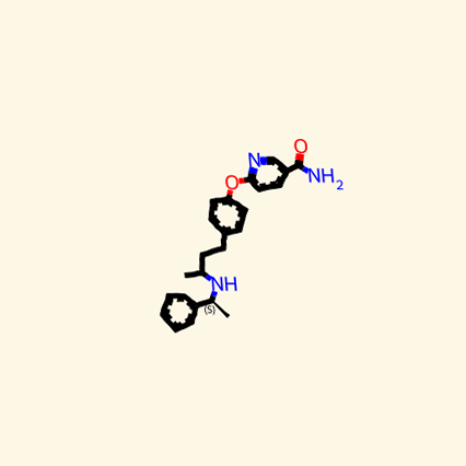 CC(CCc1ccc(Oc2ccc(C(N)=O)cn2)cc1)N[C@@H](C)c1ccccc1